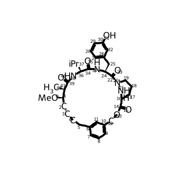 CO[C@@H]1CCCCc2cccc(c2)COC(=O)[C@@H]2CCCN(N2)C(=O)[C@H](Cc2cccc(O)c2)NC(=O)[C@H](C(C)C)NC(=O)[C@@H]1C